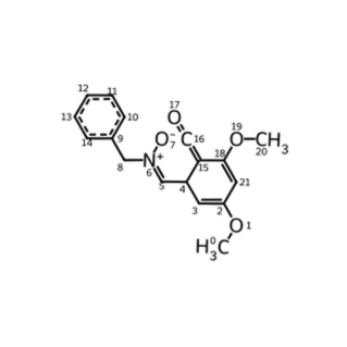 COC1=CC(C=[N+]([O-])Cc2ccccc2)C(=C=O)C(OC)=C1